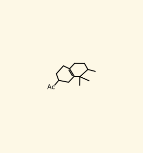 CC(=O)C1CCC2=C(C1)C(C)(C)C(C)CC2